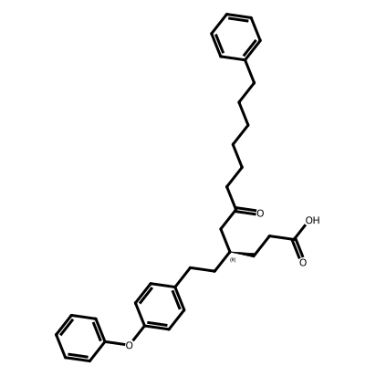 O=C(O)CC[C@@H](CCc1ccc(Oc2ccccc2)cc1)CC(=O)CCCCCCc1ccccc1